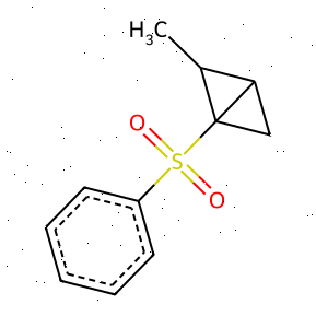 CC1C2CC12S(=O)(=O)c1ccccc1